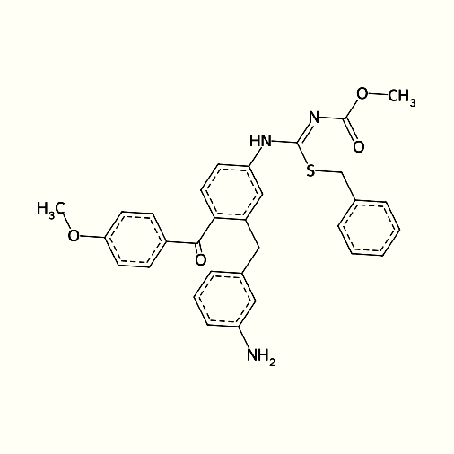 COC(=O)N=C(Nc1ccc(C(=O)c2ccc(OC)cc2)c(Cc2cccc(N)c2)c1)SCc1ccccc1